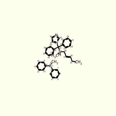 CB(c1ccccc1)c1ccccc1.CCC=CC[SiH](C)C(c1ccccc1)(c1ccccc1)n1ccnc1